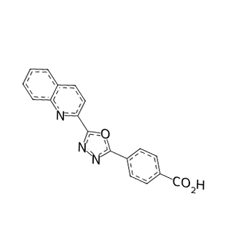 O=C(O)c1ccc(-c2nnc(-c3ccc4ccccc4n3)o2)cc1